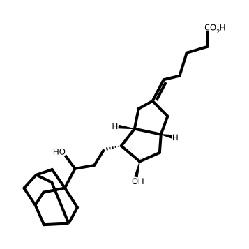 O=C(O)CCCC=C1C[C@@H]2C[C@@H](O)[C@H](CCC(O)C34CC5CC(CC(C5)C3)C4)[C@@H]2C1